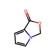 O=C1OCn2cccc21